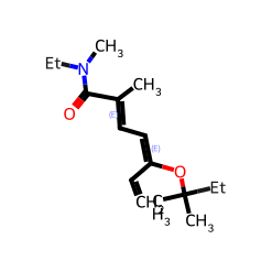 C=C/C(=C\C=C(/C)C(=O)N(C)CC)OC(C)(C)CC